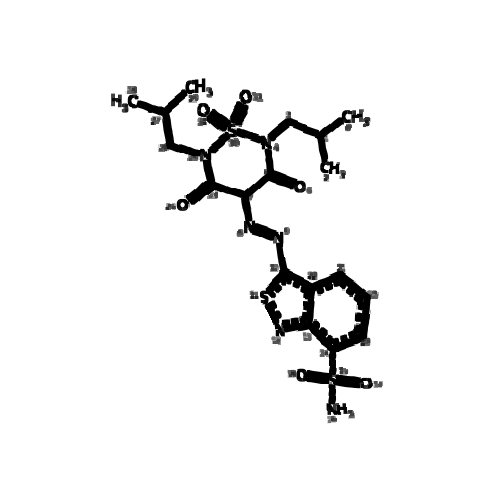 CC(C)CN1C(=O)C(N=Nc2snc3c(S(N)(=O)=O)cccc23)C(=O)N(CC(C)C)S1(=O)=O